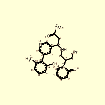 COC(=O)CC(NCC(CC(C)C)n1ccccc1=O)c1cncc(-c2c(C)cccc2C)c1